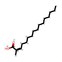 CCCCCCCCCCCCCC=C(C)C(=O)O